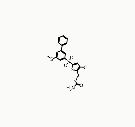 CSc1cc(-c2ccccc2)cc(S(=O)(=O)c2cc(Cl)c(COC(N)=O)s2)c1